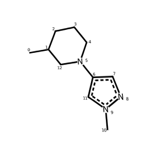 CC1CCCN(c2cnn(C)c2)C1